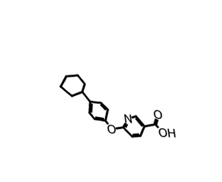 O=C(O)c1ccc(Oc2ccc(C3CCCCC3)cc2)nc1